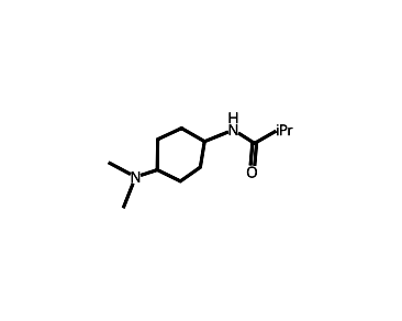 CC(C)C(=O)NC1CCC(N(C)C)CC1